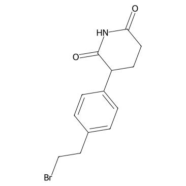 O=C1CCC(c2ccc(CCBr)cc2)C(=O)N1